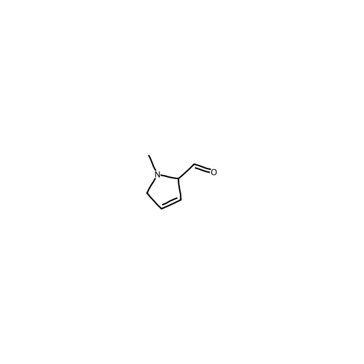 CN1CC=CC1C=O